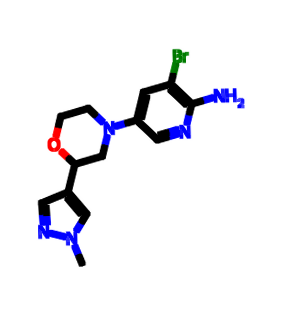 Cn1cc(C2CN(c3cnc(N)c(Br)c3)CCO2)cn1